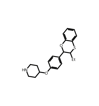 CCC1Sc2ccccc2OC1c1ccc(OC2CCNCC2)cc1